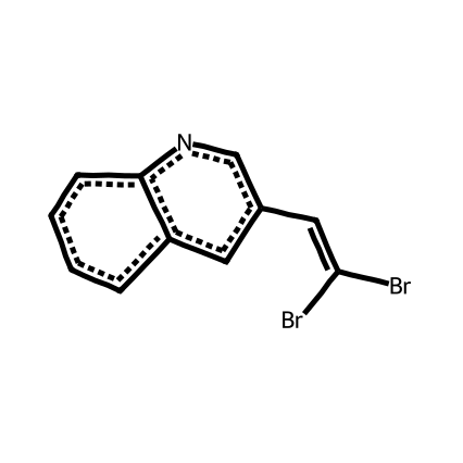 BrC(Br)=Cc1cnc2ccccc2c1